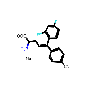 N#Cc1ccc(/C(=C/CC(N)C(=O)[O-])c2ccc(F)cc2F)cc1.[Na+]